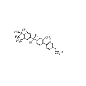 CCC(CC)(c1ccc(-c2ccc(CC(=O)O)cn2)c(C)c1)c1ccc(C(O)(C(F)(F)F)C(F)(F)F)c(C)c1